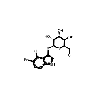 OC[C@H]1O[C@@H](Sc2c[nH]c3ccc(Br)c(Cl)c23)[C@H](O)[C@@H](O)[C@H]1O